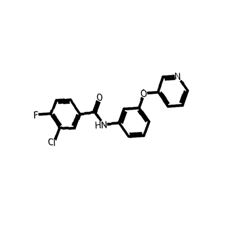 O=C(Nc1cccc(Oc2cccnc2)c1)c1ccc(F)c(Cl)c1